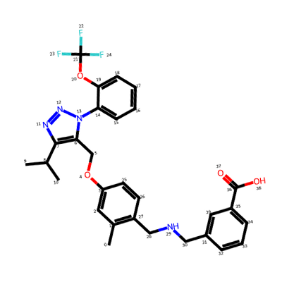 Cc1cc(OCc2c(C(C)C)nnn2-c2ccccc2OC(F)(F)F)ccc1CNCc1cccc(C(=O)O)c1